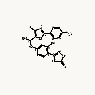 CCC(Oc1ccc(-c2noc(=O)[nH]2)c(F)c1)c1sc(-c2ccc(C(F)(F)F)cc2)nc1C